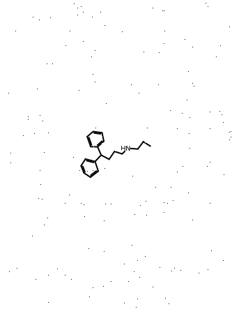 CCCNCCCC(c1ccccc1)c1ccccc1